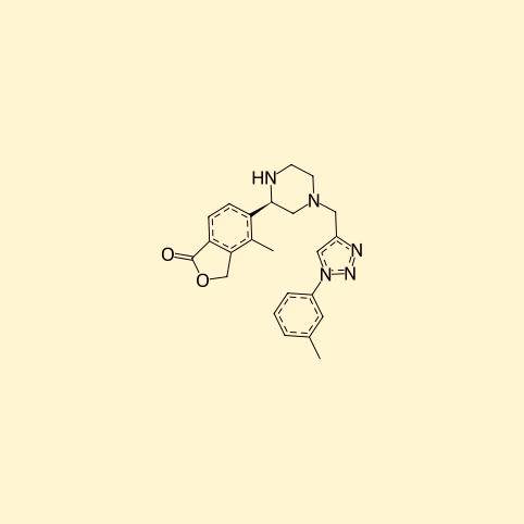 Cc1cccc(-n2cc(CN3CCN[C@H](c4ccc5c(c4C)COC5=O)C3)nn2)c1